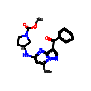 CSc1cc(N[C@H]2CCN(C(=O)OC(C)(C)C)C2)nc2c(C(=O)c3ccccc3)cnn12